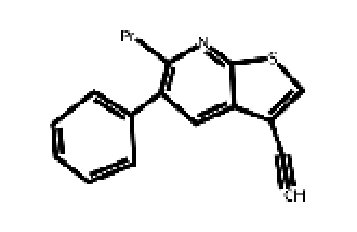 C#Cc1csc2nc(C(C)C)c(-c3ccccc3)cc12